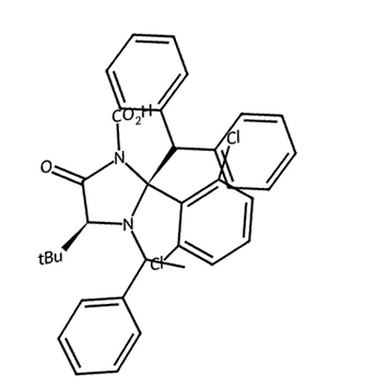 CC(c1ccccc1)N1[C@@H](C(C)(C)C)C(=O)N(C(=O)O)[C@@]1(c1c(Cl)cccc1Cl)C(c1ccccc1)c1ccccc1